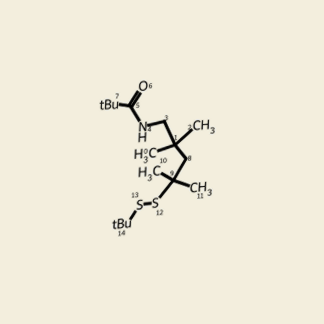 CC(C)(CNC(=O)C(C)(C)C)CC(C)(C)SSC(C)(C)C